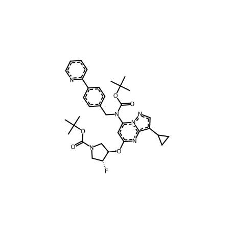 CC(C)(C)OC(=O)N1C[C@@H](F)[C@H](Oc2cc(N(Cc3ccc(-c4ccccn4)cc3)C(=O)OC(C)(C)C)n3ncc(C4CC4)c3n2)C1